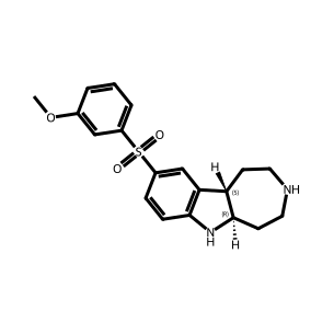 COc1cccc(S(=O)(=O)c2ccc3c(c2)[C@@H]2CCNCC[C@H]2N3)c1